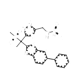 CC(c1nnc(CN[SH](=O)=O)o1)(c1nc2ccc(-c3ccccc3)cc2s1)S(C)(=O)=O